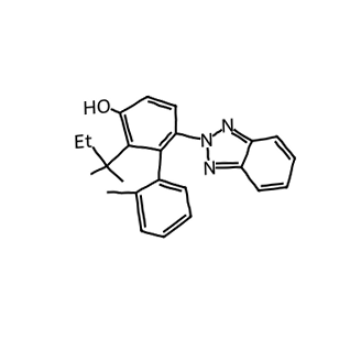 CCC(C)(C)c1c(O)ccc(-n2nc3ccccc3n2)c1-c1ccccc1C